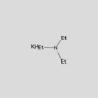 CCN(CC)CC.[KH]